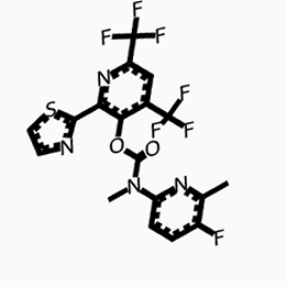 Cc1nc(N(C)C(=O)Oc2c(C(F)(F)F)cc(C(F)(F)F)nc2-c2nccs2)ccc1F